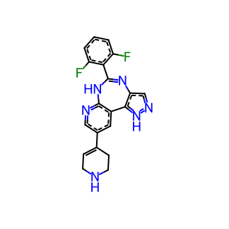 Fc1cccc(F)c1C1=Nc2cn[nH]c2-c2cc(C3=CCNCC3)cnc2N1